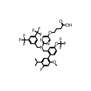 COc1cc(F)c(C(C)C)cc1-c1ccc(OC(F)(F)F)cc1CN(Cc1cc(C(F)(F)F)cc(C(F)(F)F)c1)c1ncc(OCCCC(=O)O)cn1